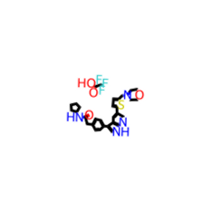 O=C(Cc1ccc(-c2c[nH]c3ncc(-c4ccc(CN5CCOCC5)s4)cc23)cc1)NC1CCCC1.O=C(O)C(F)(F)F